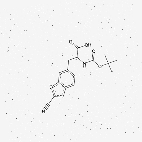 CC(C)(C)OC(=O)NC(Cc1ccc2cc(C#N)oc2c1)C(=O)O